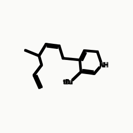 C=CCC(C)/C=C\CC1=CCNC=C1C(C)(C)C